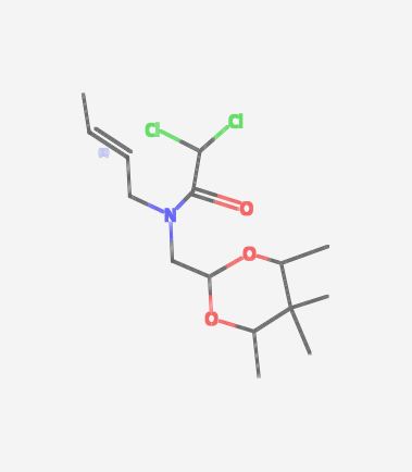 C/C=C/CN(CC1OC(C)C(C)(C)C(C)O1)C(=O)C(Cl)Cl